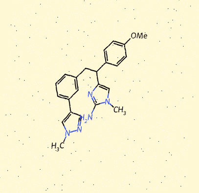 COc1ccc(C(Cc2cccc(-c3cnn(C)c3)c2)c2cn(C)c(N)n2)cc1